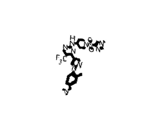 Cc1cc(CN(C)C)ccc1-n1cc(-c2nc(NC3CCN(S(=O)(=O)c4cn(C)cn4)CC3)ncc2C(F)(F)F)cn1